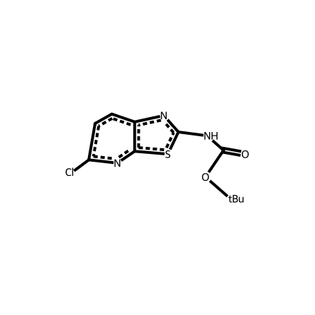 CC(C)(C)OC(=O)Nc1nc2ccc(Cl)nc2s1